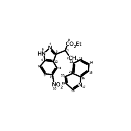 CCOC(=O)C(C)c1n[nH]c2ccc([N+](=O)[O-])cc12.c1ccc2ncccc2c1